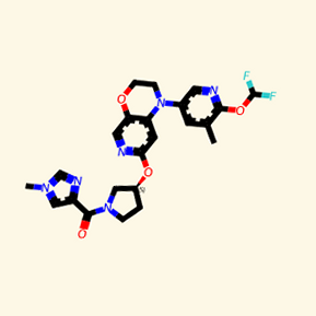 Cc1cc(N2CCOc3cnc(O[C@H]4CCN(C(=O)c5cn(C)cn5)C4)cc32)cnc1OC(F)F